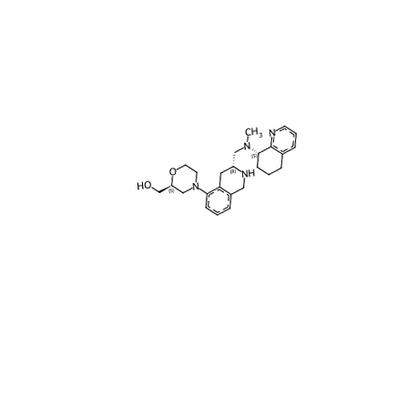 CN(C[C@H]1Cc2c(cccc2N2CCO[C@H](CO)C2)CN1)[C@H]1CCCc2cccnc21